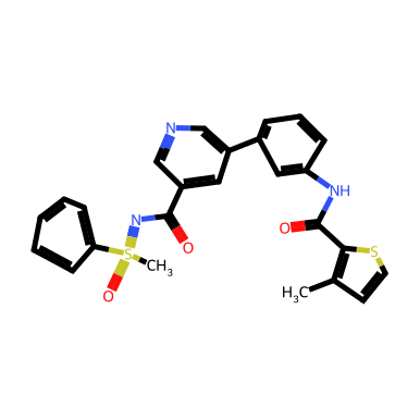 Cc1ccsc1C(=O)Nc1cccc(-c2cncc(C(=O)N=S(C)(=O)c3ccccc3)c2)c1